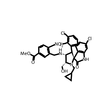 COC(=O)c1ccc([N+](=O)[O-])c(CN[C@@H]2C(c3cccc(Cl)c3F)[C@@]3(C(=O)Nc4cc(Cl)ccc43)N(CC3CC3)[C@@H]2CO)c1